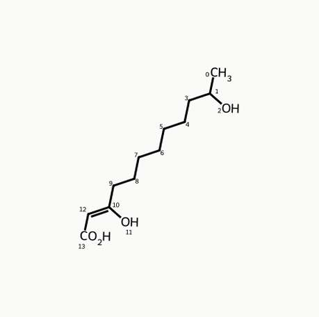 CC(O)CCCCCCCC(O)=CC(=O)O